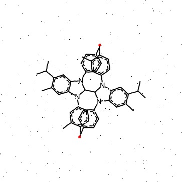 Cc1ccc(N2c3cc(C)c(C(C)C)cc3N(c3ccc(C)c(C)c3)C2C2N(c3ccc(C)c(C)c3)c3cc(C)c(C(C)C)cc3N2c2ccc(C)cc2)cc1